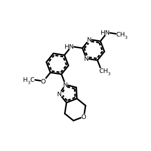 CNc1cc(C)nc(Nc2ccc(OC)c(-n3cc4c(n3)CCOC4)c2)n1